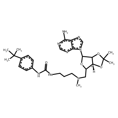 CN(CCCNC(=O)Nc1ccc(C(C)(C)C)cc1)CC1OC(n2cnc3c(N)ncnc32)C2OC(C)(C)O[C@H]12